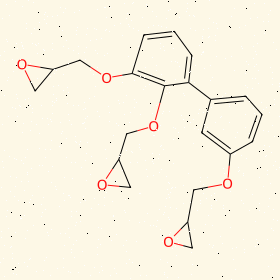 c1cc(OCC2CO2)cc(-c2cccc(OCC3CO3)c2OCC2CO2)c1